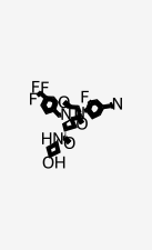 N#Cc1ccc(N2CC(=O)N(Cc3ccc(C(F)(F)F)cc3)[C@]3(C[C@@H](C(=O)N[C@H]4C[C@@H](O)C4)C3)C2=O)c(F)c1